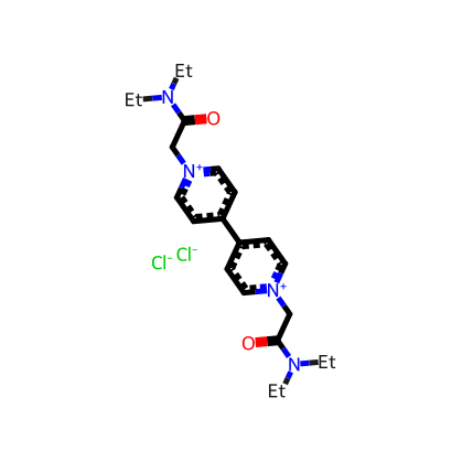 CCN(CC)C(=O)C[n+]1ccc(-c2cc[n+](CC(=O)N(CC)CC)cc2)cc1.[Cl-].[Cl-]